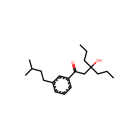 CCCC(O)(CCC)CC(=O)c1cccc(CCC(C)C)c1